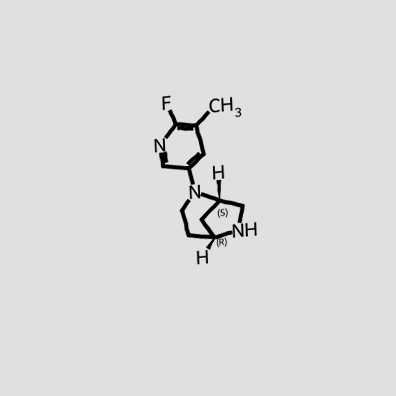 Cc1cc(N2CC[C@@H]3C[C@H]2CN3)cnc1F